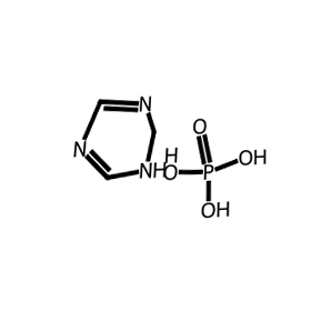 C1=NC=NCN1.O=P(O)(O)O